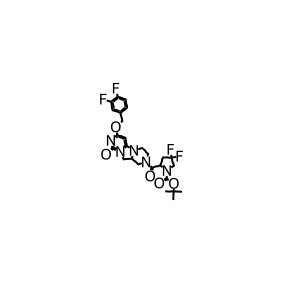 CC(C)(C)OC(=O)N1CC(F)(F)CC1C(=O)N1CCN2c3cc(OCc4ccc(F)c(F)c4)nc(=O)n3CC2C1